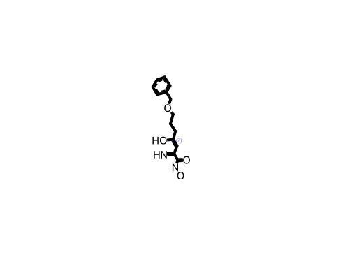 N=C(/C=C(\O)CCCOCc1ccccc1)C(=O)N=O